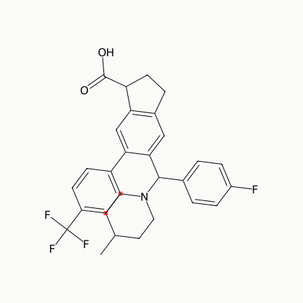 CC1CCN(C(c2ccc(F)cc2)c2cc3c(cc2-c2ccc(C(F)(F)F)cc2)C(C(=O)O)CC3)CC1